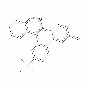 CC(C)(C)c1ccc2c3cc(=O)ccc3c3occ4ccccc4c3c2c1